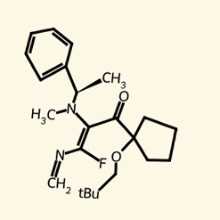 C=N/C(F)=C(/C(=O)C1(OCC(C)(C)C)CCCC1)N(C)[C@H](C)c1ccccc1